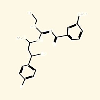 CNC(CC(N=O)c1ccc(F)cc1)N/C(=N\C(=O)c1cccc(OC)c1)NCC(C)C